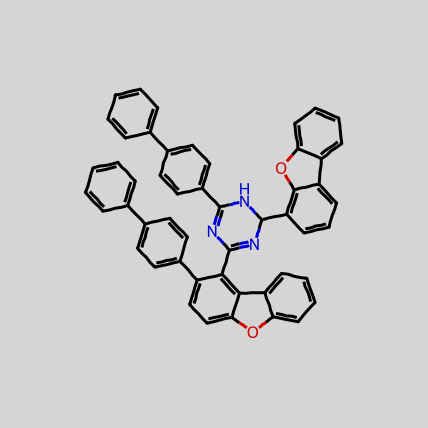 c1ccc(-c2ccc(C3=NC(c4c(-c5ccc(-c6ccccc6)cc5)ccc5oc6ccccc6c45)=NC(c4cccc5c4oc4ccccc45)N3)cc2)cc1